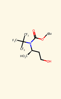 CC(C)(C)OC(=O)N([C@@H](CCO)C(=O)O)C(C(F)(F)F)(C(F)(F)F)C(F)(F)F